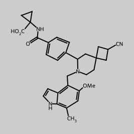 COc1cc(C)c2[nH]ccc2c1CN1CCC2(CC(C#N)C2)CC1c1ccc(C(=O)NC2(C(=O)O)CC2)cc1